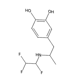 CC(Cc1ccc(O)c(O)c1)NC(F)C(F)F